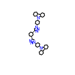 c1cc(-c2cn(-c3ccc(-n4c5ccccc5c5ccccc54)cc3)nn2)cc(-c2cn(-c3ccc(-n4c5ccccc5c5ccccc54)cc3)nn2)c1